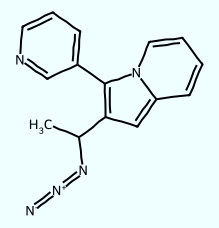 CC(N=[N+]=[N-])c1cc2ccccn2c1-c1cccnc1